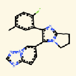 Cc1ccc(F)c(-c2nc3n(c2-c2ccc4ncnn4c2)CCC3)c1